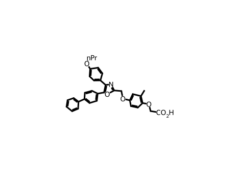 CCCOc1ccc(-c2nc(COc3ccc(OCC(=O)O)c(C)c3)oc2-c2ccc(-c3ccccc3)cc2)cc1